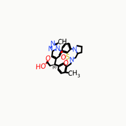 Cc1ccc([C@@H](CC(=O)O)c2ccn3c(C)nnc3c2)cc1CN1CC2CCCN2c2ccccc2S1(=O)=O